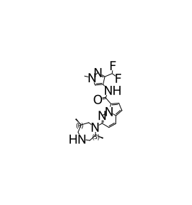 C[C@@H]1CNC[C@H](C)N(c2ccc3ccc(C(=O)Nc4cn(C)nc4C(F)F)n3n2)C1